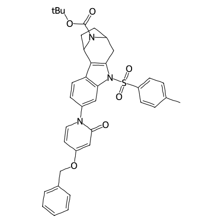 Cc1ccc(S(=O)(=O)n2c3c(c4ccc(-n5ccc(OCc6ccccc6)cc5=O)cc42)C2CCC(C3)N2C(=O)OC(C)(C)C)cc1